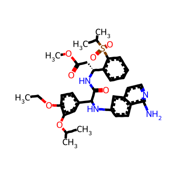 CCOc1ccc(C(Nc2ccc3c(N)nccc3c2)C(=O)N[C@H](CC(=O)OC)c2ccccc2S(=O)(=O)C(C)C)cc1OC(C)C